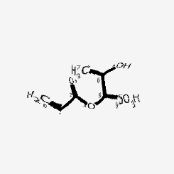 C=CC(=O)OC(C(C)O)S(=O)(=O)O